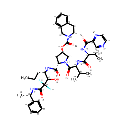 CCC[C@H](NC(=O)[C@@H]1C[C@@H](OC(=O)N2CCc3ccccc3C2)CN1C(=O)[C@@H](NC(=O)[C@@H](NC(=O)c1cnccn1)C(C)C)C(C)C)C(O)C(F)(F)C(=O)N[C@@H](C)c1ccccc1